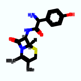 CSC1=C(C(=O)O)N2C(=O)[C@@H](NC(=O)C(N)c3ccc(O)cc3)[C@@H]2SC1